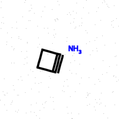 C1#CCC1.N